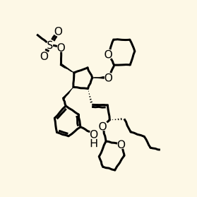 CCCCC[C@@H](/C=C/[C@@H]1[C@@H](Cc2cccc(O)c2)[C@@H](COS(C)(=O)=O)C[C@H]1OC1CCCCO1)OC1CCCCO1